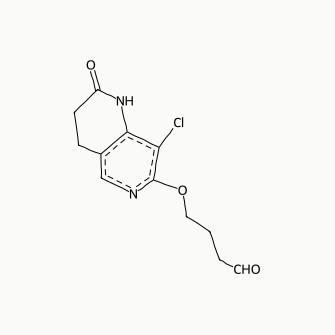 O=CCCCOc1ncc2c(c1Cl)NC(=O)CC2